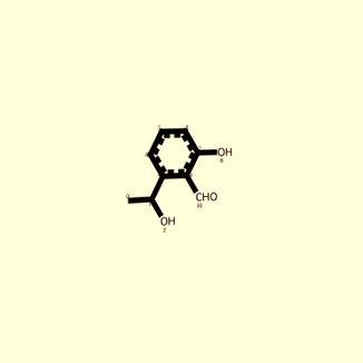 CC(O)c1cccc(O)c1C=O